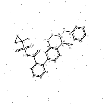 CC1(S(=O)(=O)NC(=O)c2ccccc2-c2ccc3c(c2)OC[C@H](Cc2ccccc2)[C@H]3O)CC1